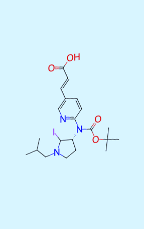 CC(C)CN1CC[C@@H](N(C(=O)OC(C)(C)C)c2ccc(C=CC(=O)O)cn2)C1I